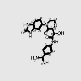 N=C(N)c1ccc(NC(=O)[C@H](O)[C@H]2OCCN(c3ccc4[nH]c(=O)[nH]c4c3)C2=O)cc1